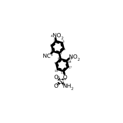 N#Cc1cc([N+](=O)[O-])ccc1-c1ccc(OS(N)(=O)=O)cc1[N+](=O)[O-]